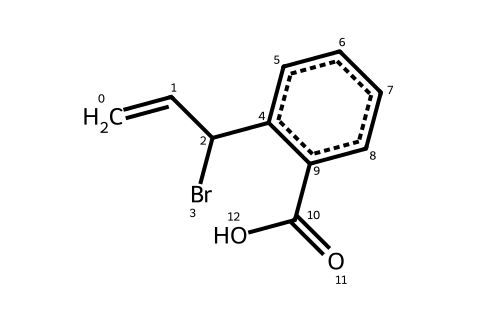 C=CC(Br)c1ccccc1C(=O)O